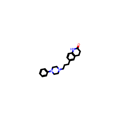 O=C1CCc2cc(CCCN3CCN(c4ccccc4)CC3)ccc2N1